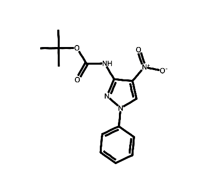 CC(C)(C)OC(=O)Nc1nn(-c2ccccc2)cc1[N+](=O)[O-]